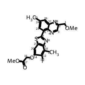 COCc1cnc2c(-c3nc4c(C)c(F)c(OCC(=O)OC)cc4s3)cc(C)cc2n1